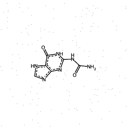 NC(=O)Nc1nc2nc[nH]c2c(=O)[nH]1